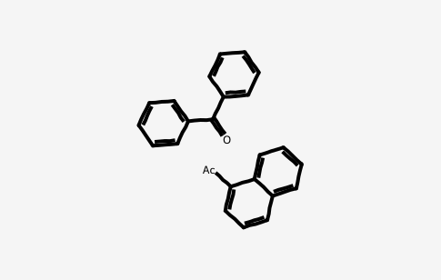 CC(=O)c1cccc2ccccc12.O=C(c1ccccc1)c1ccccc1